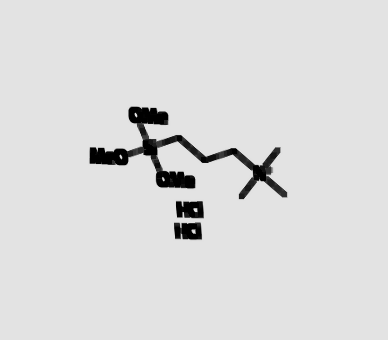 CO[Si](CCC[N+](C)(C)C)(OC)OC.Cl.Cl